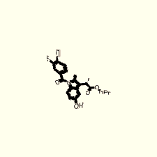 CCCOC(=O)[C@@H](C)c1c(C)n(C(=O)c2ccc(Cl)c(F)c2)c2ccc(O)cc12